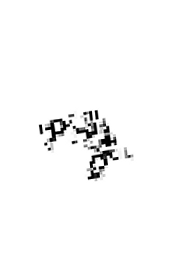 C=CC1([C@H]2COc3c(cn(C)c3C(=O)Nc3ccc(F)c(C#N)c3)S(=O)(=O)N2)CCS(=O)(=O)CC1